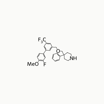 COc1ccc(-c2cc(COCC3(c4ccccc4)CCNCC3)cc(C(F)(F)F)c2)cc1F